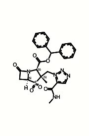 CNC(=O)c1cnnn1C[C@@]1(C)[C@H](C(=O)OC(c2ccccc2)c2ccccc2)N2C(=O)C[C@@H]2S1(=O)=O